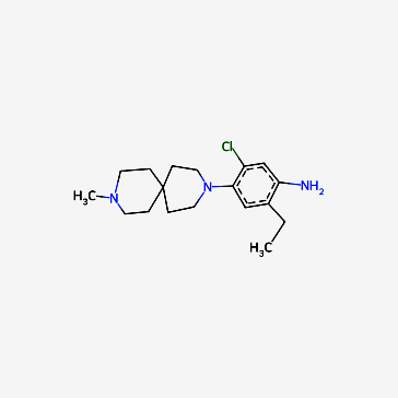 CCc1cc(N2CCC3(CCN(C)CC3)CC2)c(Cl)cc1N